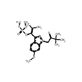 COc1ccc2c(C(OP(=O)(OC)OC)=C(C)C)nn(CC(=O)C(C)(C)C)c2c1